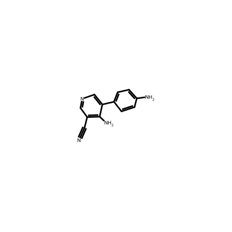 N#Cc1cncc(-c2ccc(N)cc2)c1N